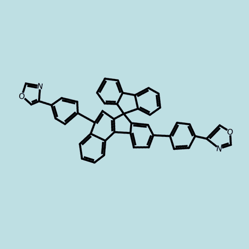 c1ccc2c(c1)-c1ccccc1C21c2cc(-c3ccc(-c4cocn4)cc3)ccc2-c2c1cc(-c1ccc(-c3cocn3)cc1)c1ccccc21